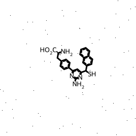 Nc1nc(-c2ccc(C[C@H](N)C(=O)O)cc2)cc(C(S)c2ccc3ccccc3c2)n1